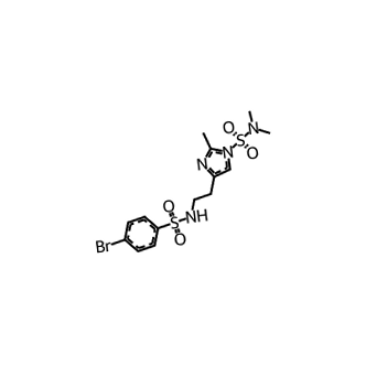 Cc1nc(CCNS(=O)(=O)c2ccc(Br)cc2)cn1S(=O)(=O)N(C)C